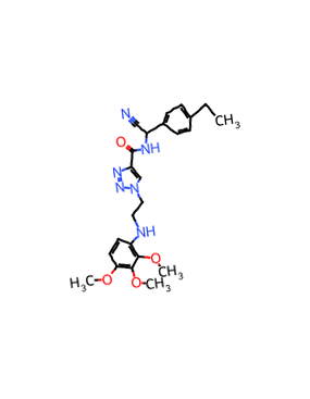 CCc1ccc(C(C#N)NC(=O)c2cn(CCNc3ccc(OC)c(OC)c3OC)nn2)cc1